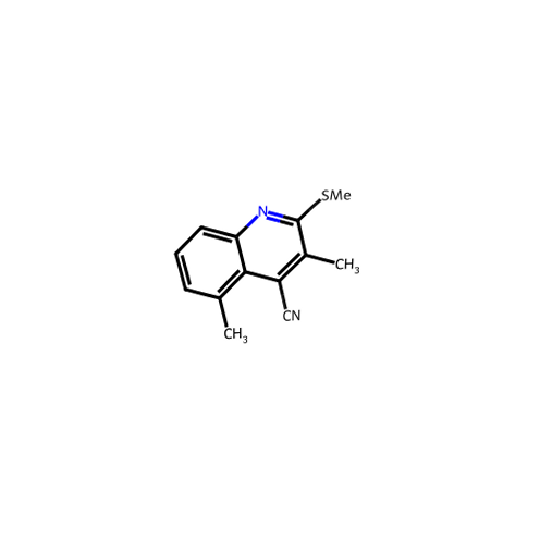 CSc1nc2cccc(C)c2c(C#N)c1C